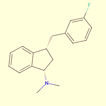 CN(C)[C@H]1C[C@@H](Cc2cccc(F)c2)c2ccccc21